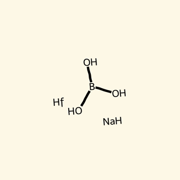 OB(O)O.[Hf].[NaH]